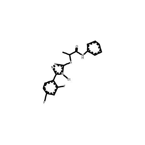 CCn1c(SC(C)C(=O)Nc2ccccc2)nnc1-c1ccc(F)cc1F